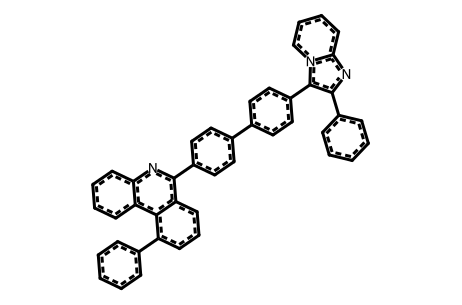 c1ccc(-c2nc3ccccn3c2-c2ccc(-c3ccc(-c4nc5ccccc5c5c(-c6ccccc6)cccc45)cc3)cc2)cc1